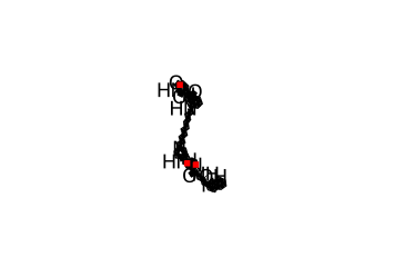 O=C1CCC(N2Cc3c(NCCCCCCCCCCN4CCC(Nc5cc(C(=O)NC[C@H](O)CN6CCc7ccccc7C6)ncn5)CC4)cccc3C2=O)C(=O)N1